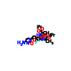 CC(C)OC(=O)[C@H](C)NP(=O)(N[C@@H](C)C(=O)OC(C)C)OC[C@]1(C(F)F)CC[C@H](n2ccc(N)nc2=O)O1